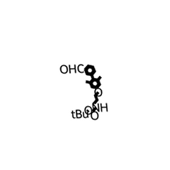 Cc1cc(OCCCNC(=O)OC(C)(C)C)cc(C)c1-c1cccc(C=O)c1